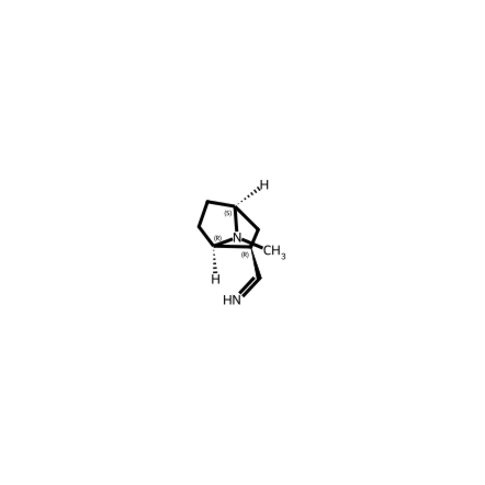 CN1[C@H]2CC[C@@H]1[C@H](C=N)C2